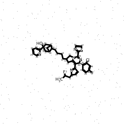 CC(F)CC1C=CC(C2=C3CC(CCCCC4C5CC(O)(c6ccccn6)CC4C5C)CN3C(c3nccs3)=N[C@H]2c2ccc(F)cc2Cl)=N1